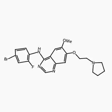 COc1cc2c(Nc3ccc(Br)cc3F)ncnc2cc1OCCN1CCCC1